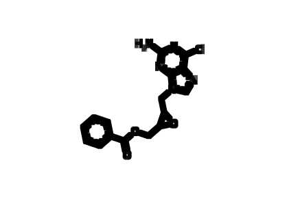 Nc1nc(Cl)c2ncn(CC3OC3COC(=O)c3ccccc3)c2n1